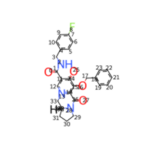 O=C(NCc1ccc(F)cc1)c1cn2c(c(OCc3ccccc3)c1=O)C(=O)N1CCC[C@@H]1C2